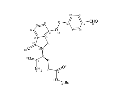 CC(C)(C)OC(=O)CC[C@@H](C(N)=O)N1Cc2c(OCc3ccc(C=O)cc3)cccc2C1=O